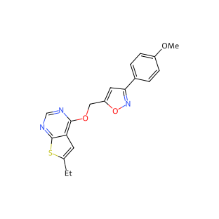 CCc1cc2c(OCc3cc(-c4ccc(OC)cc4)no3)ncnc2s1